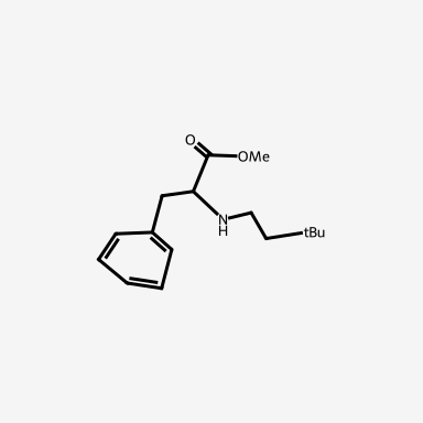 COC(=O)C(Cc1ccccc1)NCCC(C)(C)C